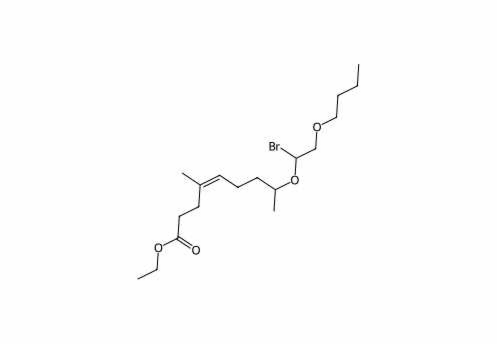 CCCCOCC(Br)OC(C)CCC=C(C)CCC(=O)OCC